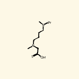 CC(C)N(C)CCCCN(C)CC(O)=S